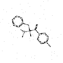 C=C(c1ccc(C)cc1)C(C)(Cc1ccccc1)N(C)C